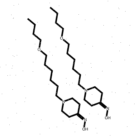 CCCCOCCCCCCN1CCC(=NO)CC1.CCCCOCCCCCCN1CCC(=NO)CC1